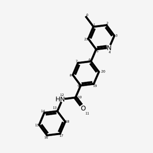 Cc1ccnc(-c2ccc(C(=O)Nc3ccccc3)cc2)c1